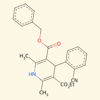 CCOC(=O)C1=C(C)NC(C)=C(C(=O)OCc2ccccc2)C1c1ccccc1C#N